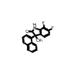 O=C1Nc2c(ccc(F)c2F)C1(O)c1cccc2ccccc12